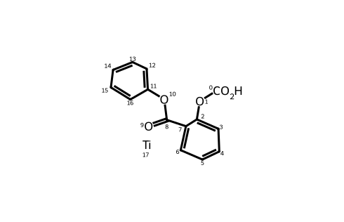 O=C(O)Oc1ccccc1C(=O)Oc1ccccc1.[Ti]